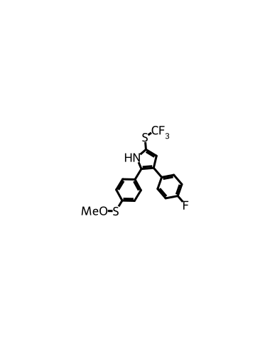 COSc1ccc(-c2[nH]c(SC(F)(F)F)cc2-c2ccc(F)cc2)cc1